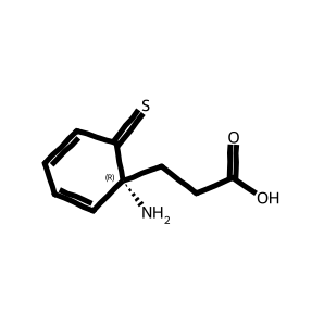 N[C@]1(CCC(=O)O)C=CC=CC1=S